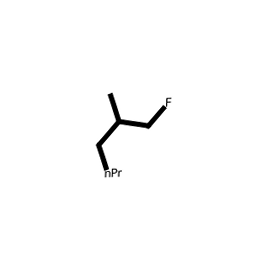 CCCCC(C)[CH]F